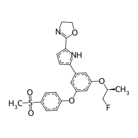 C[C@@H](CF)Oc1cc(Oc2ccc(S(C)(=O)=O)cc2)cc(-c2ccc(C3=NCCO3)[nH]2)c1